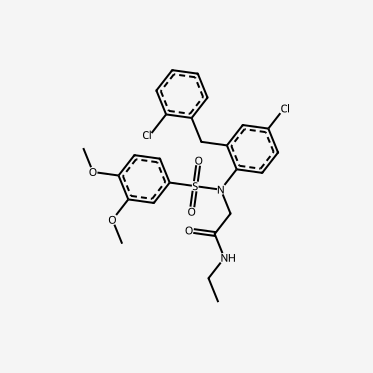 CCNC(=O)CN(c1ccc(Cl)cc1Cc1ccccc1Cl)S(=O)(=O)c1ccc(OC)c(OC)c1